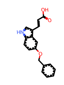 O=C(O)C=Cc1c[nH]c2ccc(OCc3ccccc3)cc12